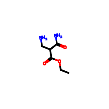 CCOC(=O)C(CN)C(N)=O